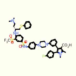 Cc1c(C(=O)O)c(-c2cccc(N3CCN(c4ccc(NS(=O)(=O)c5ccc(N[C@H](CCN(C)C)CSc6ccccc6)c(S(=O)(=O)C(F)(F)F)c5)cc4)CC3)c2)c(-c2ccc(F)cc2)n1C